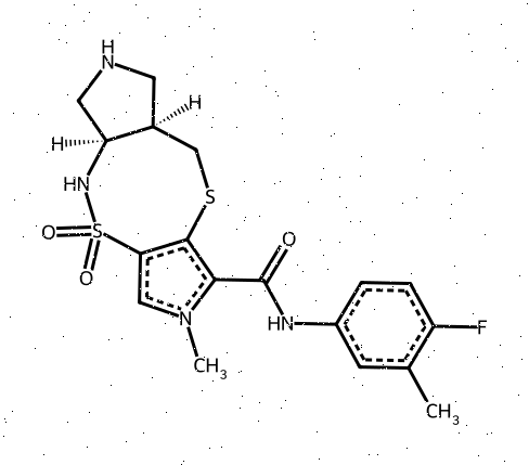 Cc1cc(NC(=O)c2c3c(cn2C)S(=O)(=O)N[C@H]2CNC[C@H]2CS3)ccc1F